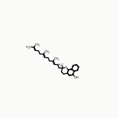 CC(C)=CCC/C(C)=C/CC/C(C)=C/CCC1(C)CCc2cc(O)c3ccccc3c2O1